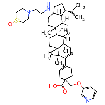 C=C(C)[C@@H]1CC[C@]2(NCCN3CC[S+]([O-])CC3)CC[C@]3(C)[C@H](CC[C@@H]4[C@@]5(C)CC=C(C6=CCC(COc7cccnc7)(C(=O)O)CC6)C(C)(C)[C@@H]5CC[C@]43C)[C@@H]12